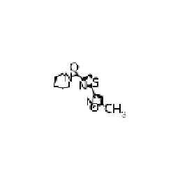 Cc1cc(-c2nc(C(=O)N3CCCCC3)cs2)no1